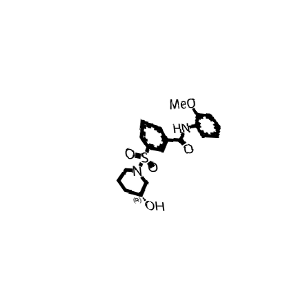 COc1ccccc1NC(=O)c1cccc(S(=O)(=O)N2CCC[C@@H](O)C2)c1